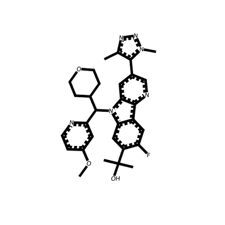 COc1ccnc(C(C2CCOCC2)n2c3cc(C(C)(C)O)c(F)cc3c3ncc(-c4c(C)nnn4C)cc32)c1